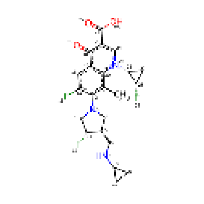 Cc1c(N2C[C@@H](CNC3CC3)[C@H](F)C2)c(F)cc2c(=O)c(C(=O)O)cn([C@@H]3C[C@@H]3F)c12